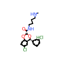 CNCCCCNC(=O)[C@H]1Oc2ccc(Cl)cc2[C@@H](c2ccccc2)O1.Cl